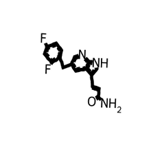 NC(=O)C=Cc1c[nH]c2ncc(Cc3ccc(F)cc3F)cc12